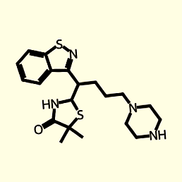 CC1(C)SC(C(CCCN2CCNCC2)c2nsc3ccccc23)NC1=O